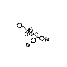 O=C(NCCc1ccccc1)N1CC(OC(c2ccc(Br)cc2)c2ccc(Br)cc2)C1